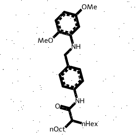 CCCCCCCCC(CCCCCC)C(=O)Nc1ccc(CNc2cc(OC)ccc2OC)cc1